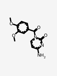 COc1ccc(C(=O)n2ccc(N)nc2=O)cc1OC